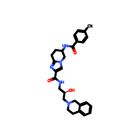 N#Cc1ccc(C(=O)NC2CCc3nc(C(=O)NC[C@H](O)CN4CCc5ccccc5C4)cn3C2)cc1